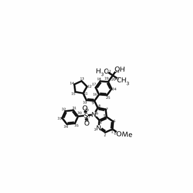 COc1cnc2c(c1)cc(C(=CC1CCCC1)c1ccc(C(C)(C)O)cc1)n2S(=O)(=O)c1ccccc1